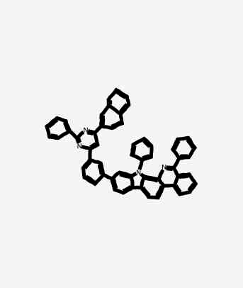 c1ccc(-c2nc(-c3cccc(-c4ccc5c6ccc7c8ccccc8c(-c8ccccc8)nc7c6n(-c6ccccc6)c5c4)c3)cc(-c3ccc4ccccc4c3)n2)cc1